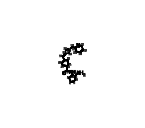 Nc1ccccc1NC(=O)c1ccc(C=C2CN(Cc3ccccn3)C2)cc1